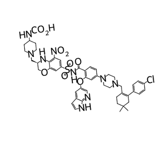 CC1(C)CCC(CN2CCN(c3ccc(C(=O)NS(=O)(=O)c4cc5c(c([N+](=O)[O-])c4)N[C@H](CN4CCC(NC(=O)O)CC4)CO5)c(Oc4cnc5[nH]ccc5c4)c3)CC2)=C(c2ccc(Cl)cc2)C1